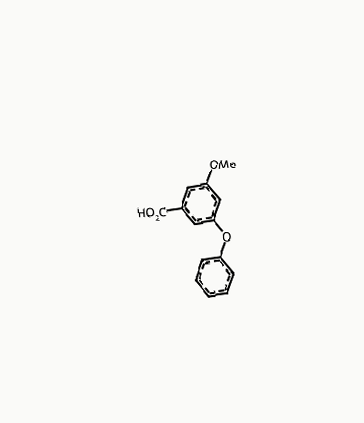 COc1cc(Oc2ccccc2)cc(C(=O)O)c1